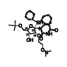 Cc1cn([C@]2([SiH](c3ccccc3)c3ccccc3)O[C@H](COC(C)(C)C)[C@@H](O)[C@H]2OCCON(C)C)c(=O)[nH]c1=O